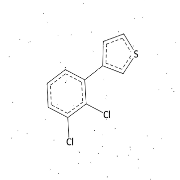 Clc1cc[c]c(-c2ccsc2)c1Cl